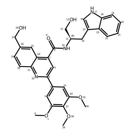 COc1cc(-c2cc(C(=O)N[C@@H](CO)Cc3c[nH]c4ccccc34)c3cc(CO)ccc3n2)cc(OC)c1OC